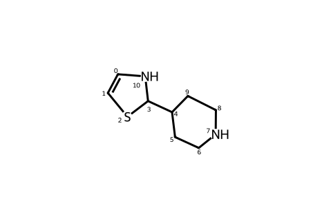 C1=CSC(C2CCNCC2)N1